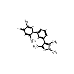 Cc1nn(C)c(C)c1-c1cccc(-n2cc(O)c(=O)cc2C)c1